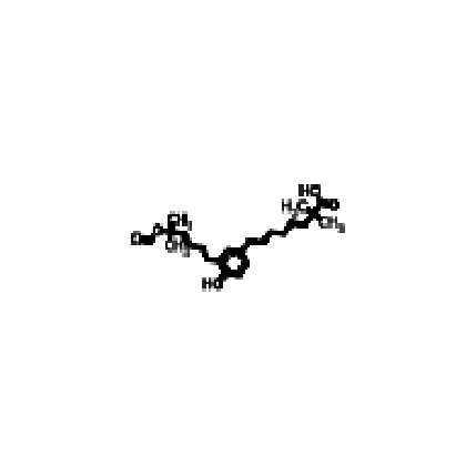 CC(C)(CCCCc1cc(CCCCCCC(C)(C)C(=O)O)ccc1O)OC=O